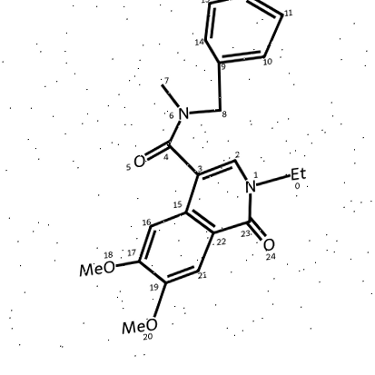 CCn1cc(C(=O)N(C)Cc2ccccc2)c2cc(OC)c(OC)cc2c1=O